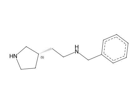 c1ccc(CNCC[C@@H]2CCNC2)cc1